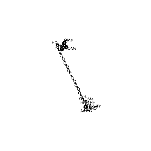 COC(=O)[C@H](CCC(=O)NCCOCCOCCOCCOCCOCCOCCOCCOCCOCCOCCOCCOCCC(=O)N1C[C@H](O)C[C@H]1COC(c1ccccc1)(c1ccc(OC)cc1)c1ccc(OC)cc1)NC(=O)c1ccc(N(Cc2cnc3nc(NC(=O)C(C)C)[nH]c(=O)c3n2)C(C)=O)cc1